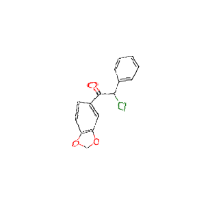 O=C(c1ccc2c(c1)OCO2)C(Cl)c1ccccc1